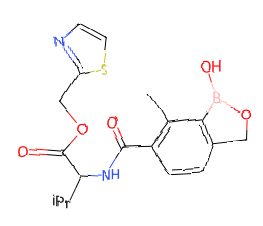 Cc1c(C(=O)NC(C(=O)OCc2nccs2)C(C)C)ccc2c1B(O)OC2